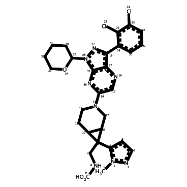 Cn1nccc1C1(CNC(=O)O)C2CCN(c3cnc4c(-c5cccc(Cl)c5Cl)nn(C5CCCCO5)c4n3)CC21